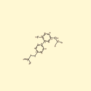 C=C(F)CCc1ccc(-c2cc(OC(C)C)ccc2F)cc1